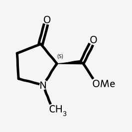 COC(=O)[C@@H]1C(=O)CCN1C